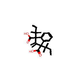 CCC(C)(C)C(CC)(C(=O)O)c1ccccc1C(CC)(C(=O)O)C(C)(C)CC